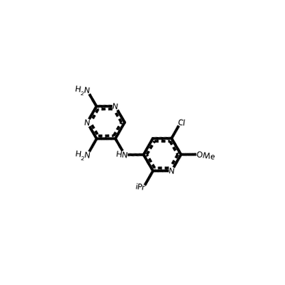 COc1nc(C(C)C)c(Nc2cnc(N)nc2N)cc1Cl